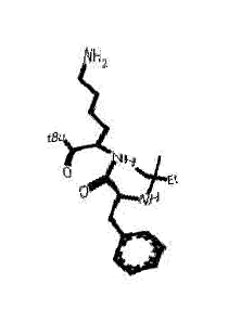 CCC(C)(C)NC(Cc1ccccc1)C(=O)NC(CCCCN)C(=O)C(C)(C)C